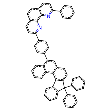 c1ccc(-c2ccc3ccc4ccc(-c5ccc(-c6cc7ccc8c(c7c7ccccc67)-c6ccccc6C8(c6ccccc6)c6ccccc6)cc5)nc4c3n2)cc1